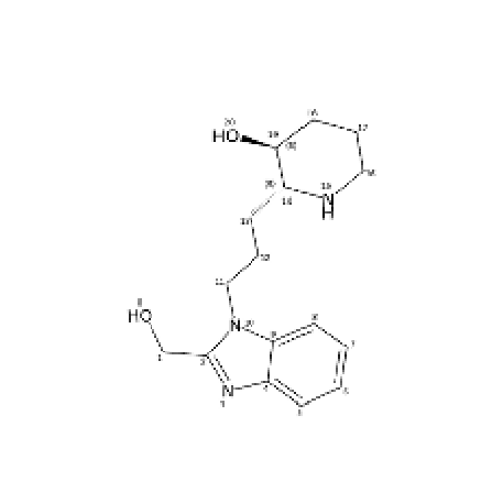 OCc1nc2ccccc2n1CCC[C@H]1NCCC[C@@H]1O